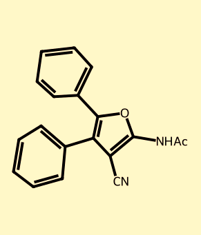 [CH2]C(=O)Nc1oc(-c2ccccc2)c(-c2ccccc2)c1C#N